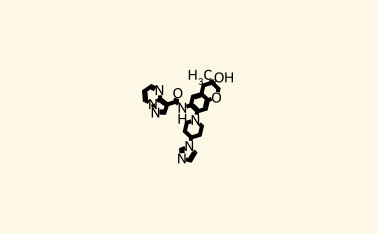 C[C@@]1(O)COc2cc(N3CCC(n4ccnc4)CC3)c(NC(=O)c3cnn4cccnc34)cc2C1